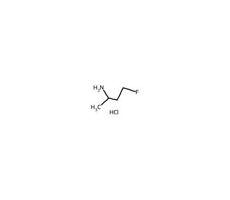 CC(N)CCF.Cl